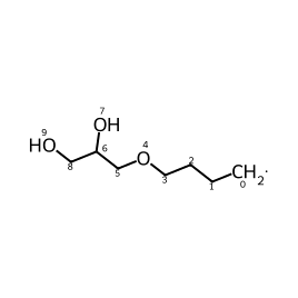 [CH2]CCCOCC(O)CO